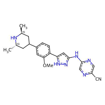 COc1cc(C2C[C@H](C)N[C@@H](C)C2)ccc1-c1cc(Nc2cnc(C#N)cn2)n[nH]1